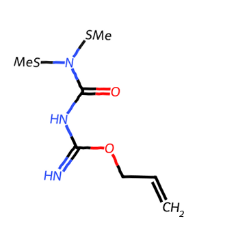 C=CCOC(=N)NC(=O)N(SC)SC